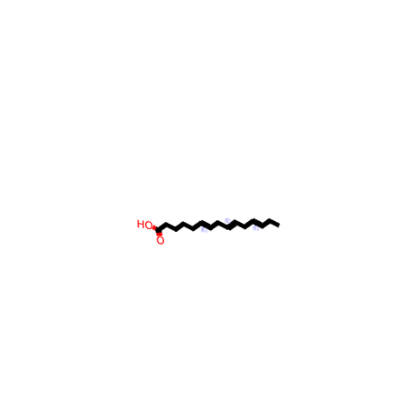 CC/C=C/C/C=C/C/C=C/CCCCC(=O)O